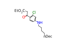 CCCCCCCCCCCCCCNc1ccc(C(=O)CC(=O)OCC)c(Cl)c1